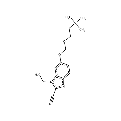 CCn1c(C#N)nc2ccc(OCOCC[Si](C)(C)C)cc21